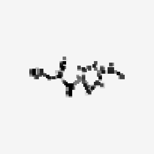 BCC(=O)Nc1ccc(OC)cc1